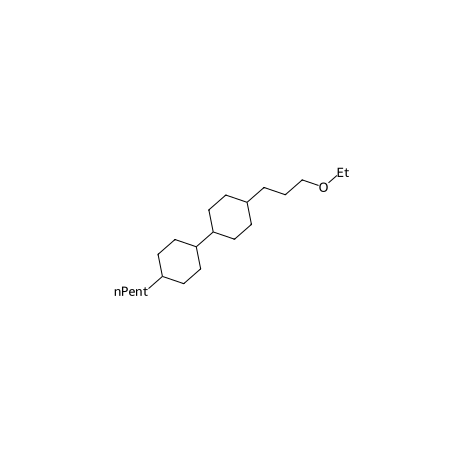 CCCCCC1CCC(C2CCC(CCCOCC)CC2)CC1